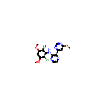 COc1cc(OC)c(Cl)c(Nc2nccnc2-c2cc(SC)ncn2)c1Cl